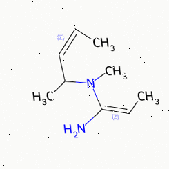 C/C=C\C(C)N(C)/C(N)=C\C